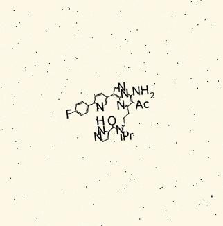 CC(=O)c1c(CCCN(C(=O)c2ccn[nH]2)C(C)C)nc2c(-c3ccc(-c4ccc(F)cc4)nc3)cnn2c1N